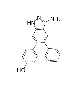 Nc1n[nH]c2cc(-c3ccc(O)cc3)c(-c3ccccc3)cc12